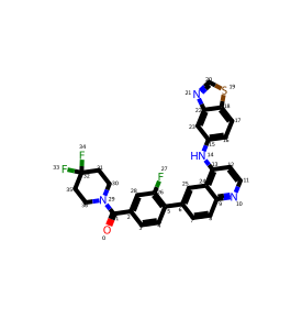 O=C(c1ccc(-c2ccc3nccc(Nc4ccc5scnc5c4)c3c2)c(F)c1)N1CCC(F)(F)CC1